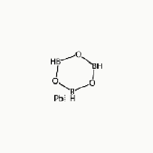 B1OBOBO1.[Pb]